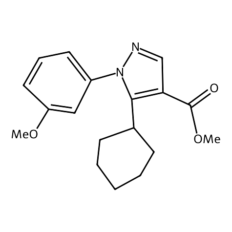 COC(=O)c1cnn(-c2cccc(OC)c2)c1C1CCCCC1